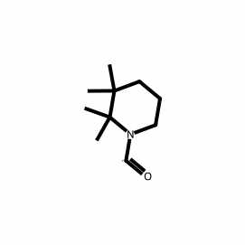 CC1(C)CCCN([C]=O)C1(C)C